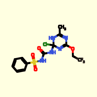 CC1=NC(OCC(F)(F)F)=NC(Cl)(NC(=O)NS(=O)(=O)c2ccccc2)N1